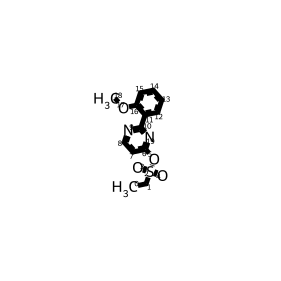 CCS(=O)(=O)Oc1ccnc(-c2ccccc2OC)n1